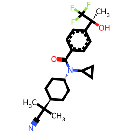 CC(C)(C#N)[C@H]1CC[C@H](N(C(=O)c2ccc([C@](C)(O)C(F)(F)F)cc2)C2CC2)CC1